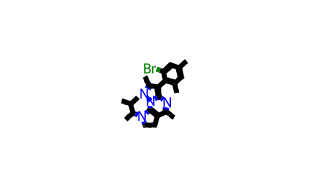 Cc1cc(C)c(-c2c(C)nn3c4c(c(C)nc23)CCN4C(C)C(C)C)c(Br)c1